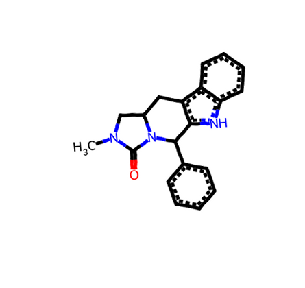 CN1CC2Cc3c([nH]c4ccccc34)C(c3ccccc3)N2C1=O